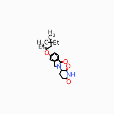 CC[C@@H](CC(C)(C)CC)Oc1ccc2c(c1)CN(C1CCC(=O)NC1=O)C2=O